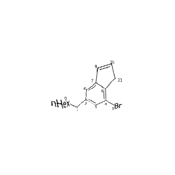 CCCCCCCc1cc(Br)c2c(c1)C=CC2